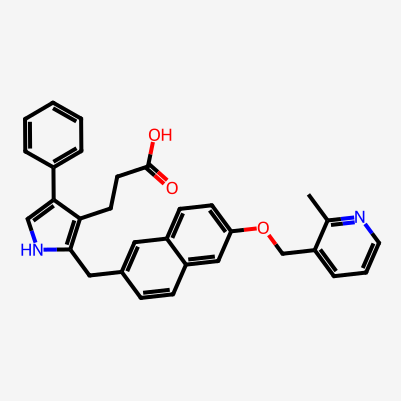 Cc1ncccc1COc1ccc2cc(Cc3[nH]cc(-c4ccccc4)c3CCC(=O)O)ccc2c1